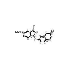 COc1cc2c(I)nn(Cc3ccc4ncc(Cl)cc4c3)c2cn1